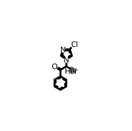 Br.O=C(c1ccccc1)C(Br)n1cnc(Cl)c1